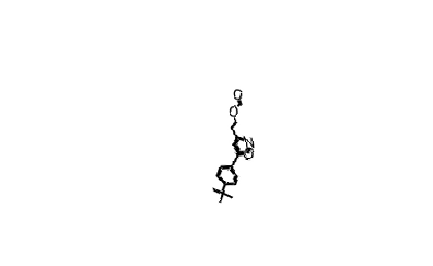 CC(C)(C)c1ccc(-c2cc(CCOC=O)no2)cc1